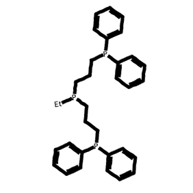 CCP(CCCP(c1ccccc1)c1ccccc1)CCCP(c1ccccc1)c1ccccc1